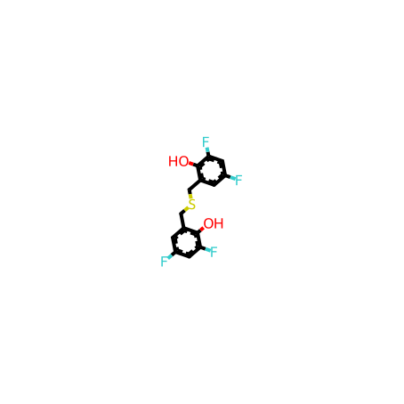 Oc1c(F)cc(F)cc1CSCc1cc(F)cc(F)c1O